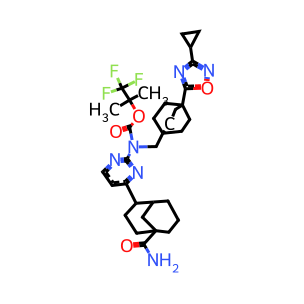 CC(C)(OC(=O)N(CC12CCC(c3nc(C4CC4)no3)(CC1)CC2)c1nccc(C2CCC3(C(N)=O)CCCC2C3)n1)C(F)(F)F